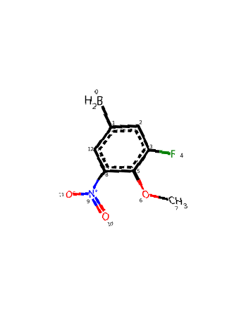 Bc1cc(F)c(OC)c([N+](=O)[O-])c1